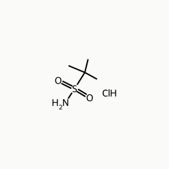 CC(C)(C)S(N)(=O)=O.Cl